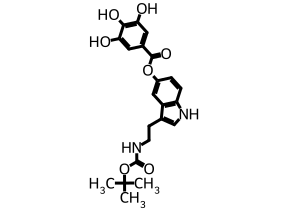 CC(C)(C)OC(=O)NCCc1c[nH]c2ccc(OC(=O)c3cc(O)c(O)c(O)c3)cc12